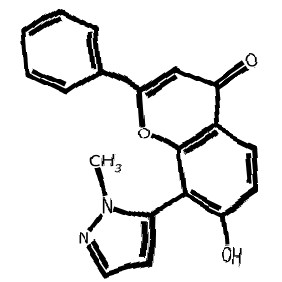 Cn1nccc1-c1c(O)ccc2c(=O)cc(-c3ccccc3)oc12